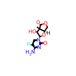 CC12C(=O)OC[C@H]1O[C@@H](n1cc(F)c(N)nc1=O)C2O